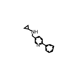 c1ccc(-c2ccc(CNC3CC3)cn2)cc1